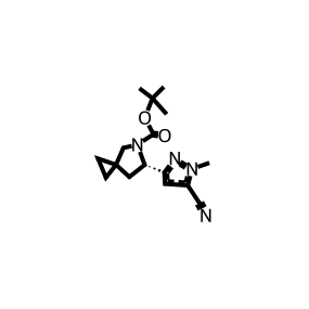 Cn1nc([C@@H]2CC3(CC3)CN2C(=O)OC(C)(C)C)cc1C#N